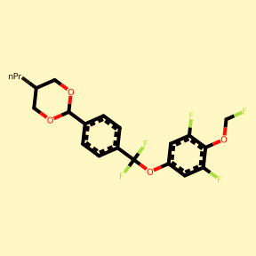 CCCC1COC(c2ccc(C(F)(F)Oc3cc(F)c(OCF)c(F)c3)cc2)OC1